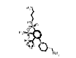 NCCCNS(=O)(=O)c1ccc(N2CCC[C@@H](CN)C2)c(-c2nnn[nH]2)c1S(N)(=O)=O